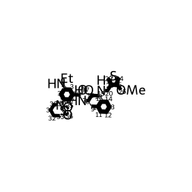 CCNc1cc(C(=O)N[C@@H](Cc2ccccc2)[C@H](O)CNCc2cscc2OC)cc(N2CCCCS2(=O)=O)c1